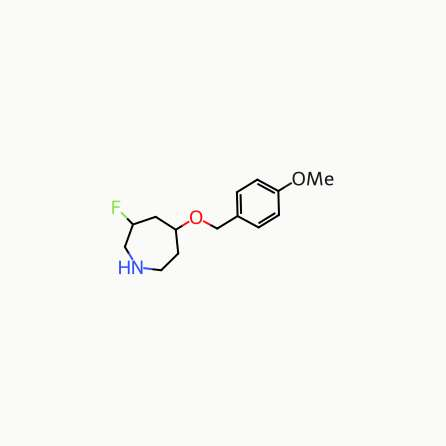 COc1ccc(COC2CCNCC(F)C2)cc1